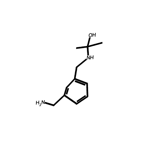 CC(C)(O)NCc1cccc(CN)c1